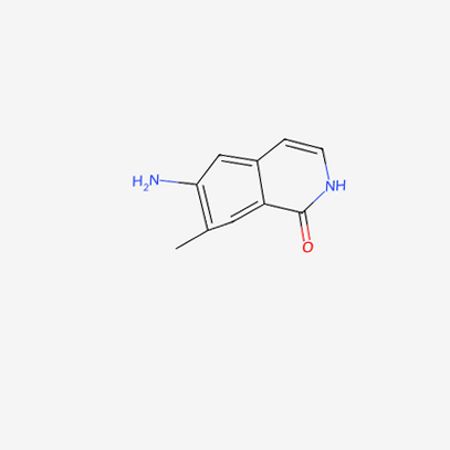 Cc1cc2c(=O)[nH]ccc2cc1N